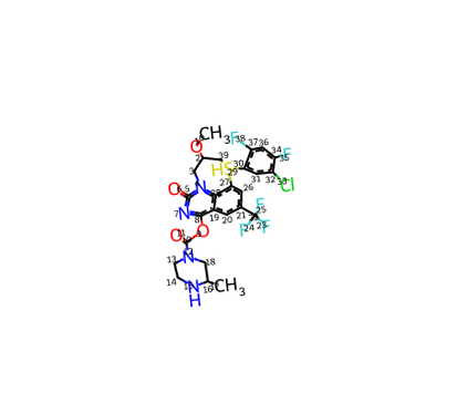 COC1Cn2c(=O)nc(OC(=O)N3CCNC(C)C3)c3cc(C(F)(F)F)cc(c32)[SH](c2cc(Cl)c(F)cc2F)C1